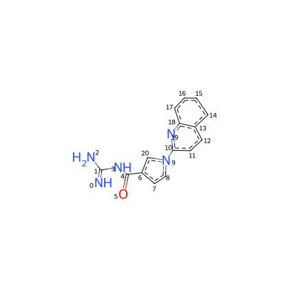 N=C(N)NC(=O)c1ccn(-c2ccc3ccccc3n2)c1